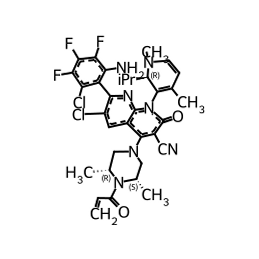 C=CC(=O)N1[C@H](C)CN(c2c(C#N)c(=O)n(C3=C(C)C=CN(C)[C@@H]3C(C)C)c3nc(-c4c(N)c(F)c(F)c(F)c4Cl)c(Cl)cc23)C[C@@H]1C